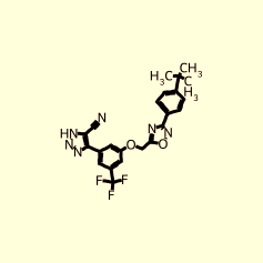 CC(C)(C)c1ccc(-c2noc(COc3cc(-c4nn[nH]c4C#N)cc(C(F)(F)F)c3)n2)cc1